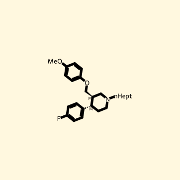 CCCCCCCN1CC[C@H](c2ccc(F)cc2)[C@@H](COc2ccc(OC)cc2)C1